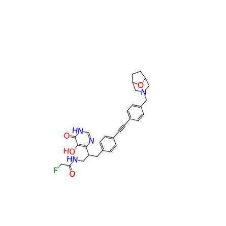 O=C(CF)NCC(Cc1ccc(C#Cc2ccc(CN3CC4CCC(C3)O4)cc2)cc1)c1nc[nH]c(=O)c1O